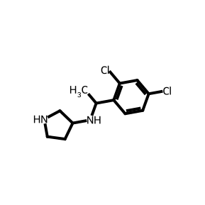 CC(NC1CCNC1)c1ccc(Cl)cc1Cl